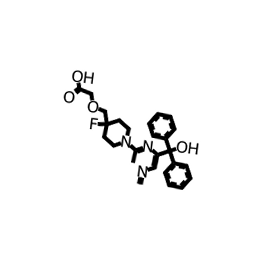 C=N/C=C(\N=C(/C)N1CCC(F)(COCC(=O)O)CC1)C(O)(c1ccccc1)c1ccccc1